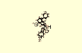 COc1ccc(-c2ccccc2)c2sc(NC(=O)ON3CCN(C)CC3)cc12